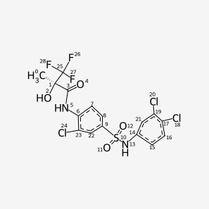 C[C@@](O)(C(=O)Nc1ccc(S(=O)(=O)Nc2ccc(Cl)c(Cl)c2)cc1Cl)C(F)(F)F